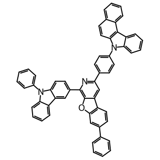 c1ccc(-c2ccc3c(c2)oc2c(-c4ccc5c(c4)c4ccccc4n5-c4ccccc4)nc(-c4ccc(-n5c6ccccc6c6c7ccccc7ccc65)cc4)cc23)cc1